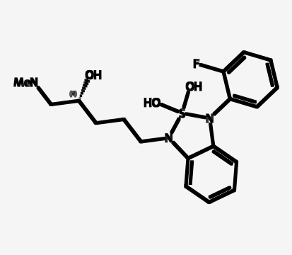 CNC[C@H](O)CCCN1c2ccccc2N(c2ccccc2F)S1(O)O